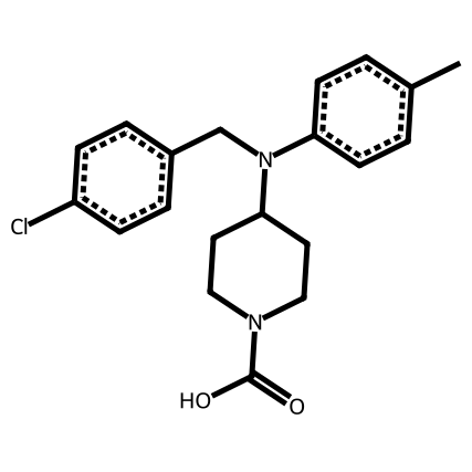 Cc1ccc(N(Cc2ccc(Cl)cc2)C2CCN(C(=O)O)CC2)cc1